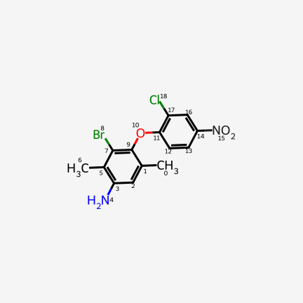 Cc1cc(N)c(C)c(Br)c1Oc1ccc([N+](=O)[O-])cc1Cl